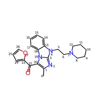 Cc1nc2n(CCN3CCCCC3)c3ccccc3n2c1C(=O)c1ccco1